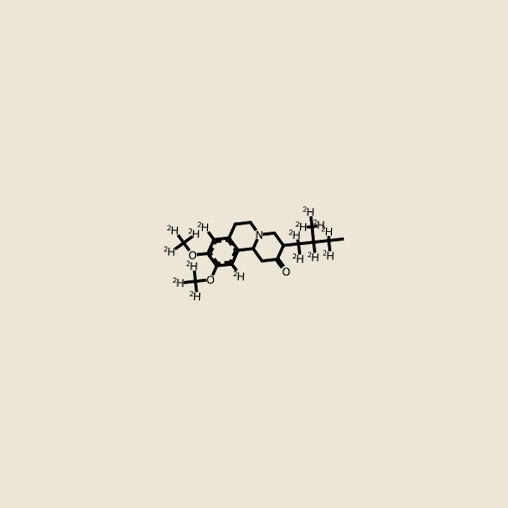 [2H]c1c2c(c([2H])c(OC([2H])([2H])[2H])c1OC([2H])([2H])[2H])C1CC(=O)C(C([2H])([2H])C([2H])(C([2H])([2H])[2H])C([2H])([2H])C)CN1CC2